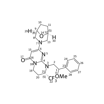 COC(CN1c2nc(N3C[C@H]4CC[C@@H](C3)O4)cc(=O)n2CC[C@H]1C(F)(F)F)c1ccccc1